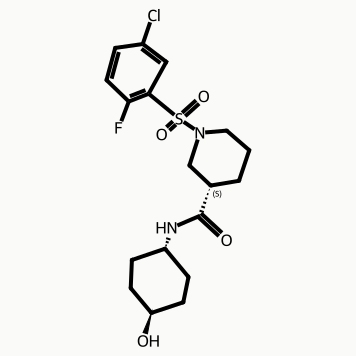 O=C(N[C@H]1CC[C@H](O)CC1)[C@H]1CCCN(S(=O)(=O)c2cc(Cl)ccc2F)C1